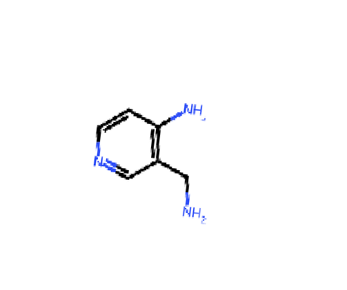 NCc1cnccc1N